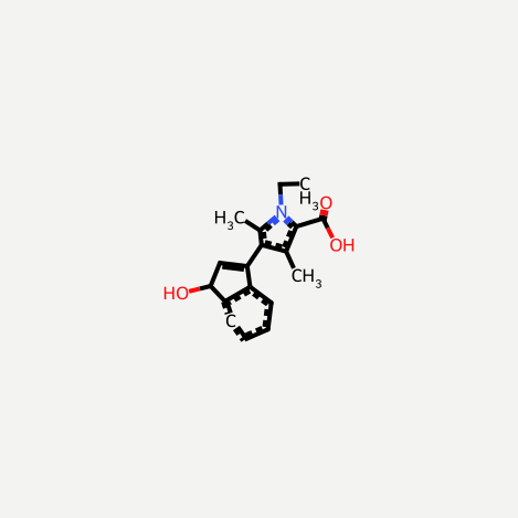 CCn1c(C)c(C2=CC(O)c3ccccc32)c(C)c1C(=O)O